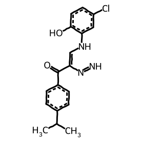 CC(C)c1ccc(C(=O)/C(=C/Nc2cc(Cl)ccc2O)N=N)cc1